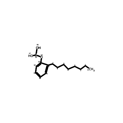 CCCCCCCCc1ccccc1OB(O)O